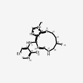 CC/C=C(NC1=c2\ncn(C)\c2=N\CCC(F)CN\C=N\1)\C(CC)=N/C